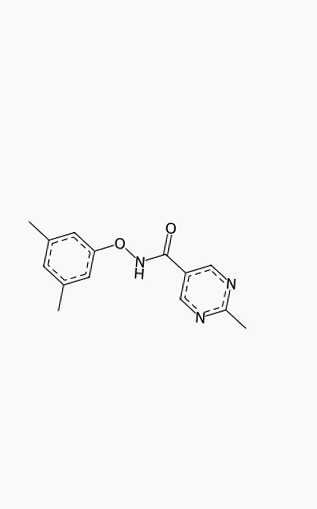 Cc1cc(C)cc(ONC(=O)c2cnc(C)nc2)c1